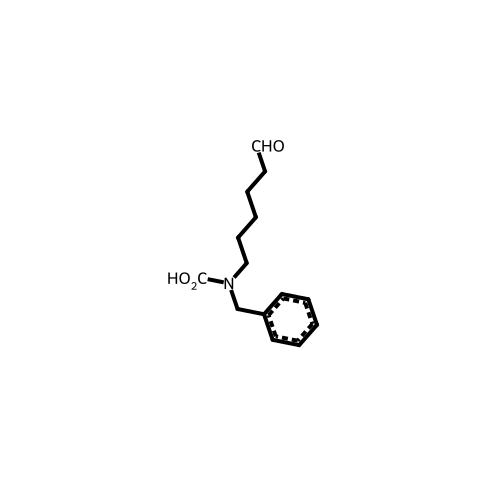 O=CCCCCCN(Cc1ccccc1)C(=O)O